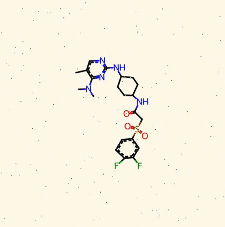 Cc1cnc(NC2CCC(NC(=O)CS(=O)(=O)c3ccc(F)c(F)c3)CC2)nc1N(C)C